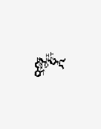 CCCN(CCC)C1=CC=C(NC(=O)c2cnc3ccc(C4C=CC=CC4C(F)(F)F)nn23)NC1